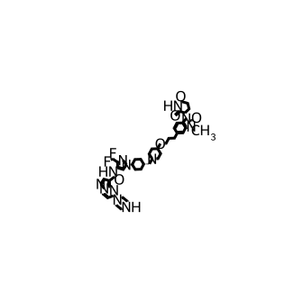 Cn1c(=O)n(C2CCC(=O)NC2=O)c2ccc(CCCOC3CCN(C[C@H]4CC[C@H](n5cc(NC(=O)c6cnn7ccc(N8CCNCC8)nc67)c(C(F)F)n5)CC4)CC3)cc21